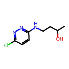 CC(O)CCNc1ccc(Cl)nn1